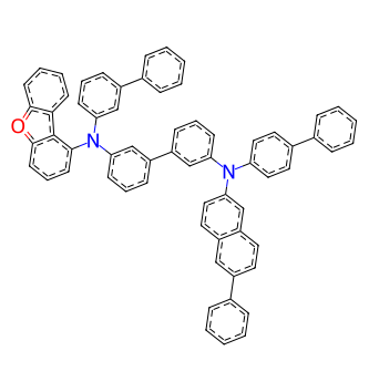 c1ccc(-c2ccc(N(c3cccc(-c4cccc(N(c5cccc(-c6ccccc6)c5)c5cccc6oc7ccccc7c56)c4)c3)c3ccc4cc(-c5ccccc5)ccc4c3)cc2)cc1